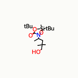 CC(CC(C)(C)CO)N(O[Si](C)(C)C(C)(C)C)C(=O)OC(C)(C)C